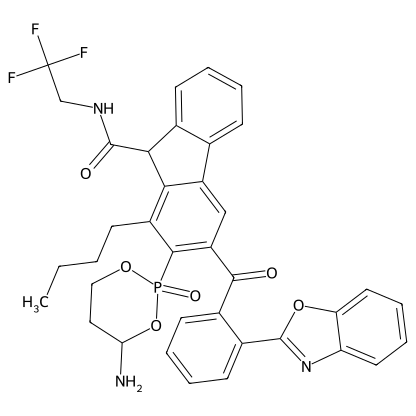 CCCCc1c2c(cc(C(=O)c3ccccc3-c3nc4ccccc4o3)c1P1(=O)OCCC(N)O1)-c1ccccc1C2C(=O)NCC(F)(F)F